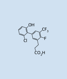 O=C(O)CCc1cc(-c2c(O)cccc2Cl)cc(C(F)(F)F)c1F